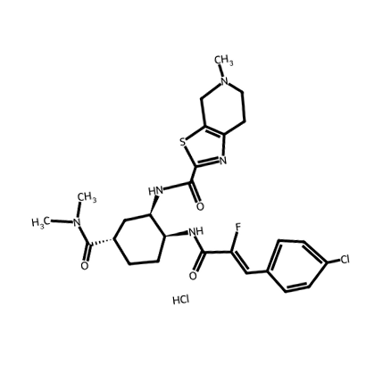 CN1CCc2nc(C(=O)N[C@@H]3C[C@@H](C(=O)N(C)C)CC[C@@H]3NC(=O)/C(F)=C/c3ccc(Cl)cc3)sc2C1.Cl